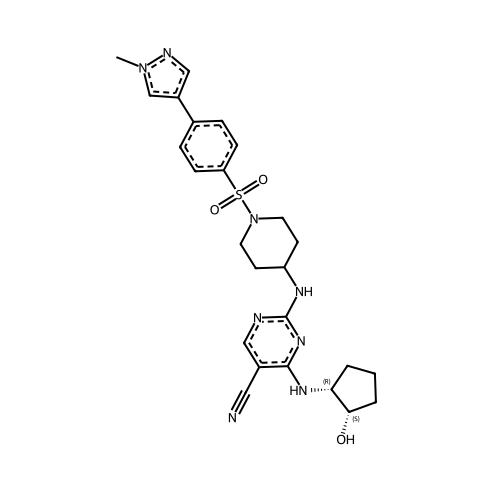 Cn1cc(-c2ccc(S(=O)(=O)N3CCC(Nc4ncc(C#N)c(N[C@@H]5CCC[C@@H]5O)n4)CC3)cc2)cn1